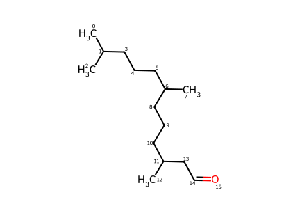 CC(C)CCCC(C)CCCC(C)CC=O